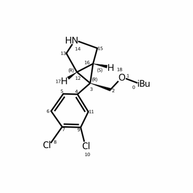 CCC(C)OC[C@@]1(c2ccc(Cl)c(Cl)c2)[C@@H]2CNC[C@@H]21